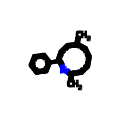 C=c1ccccc(=C)nc(-c2ccccc2)cc1